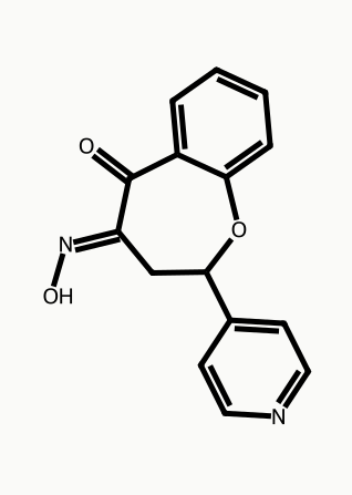 O=C1/C(=N/O)CC(c2ccncc2)Oc2ccccc21